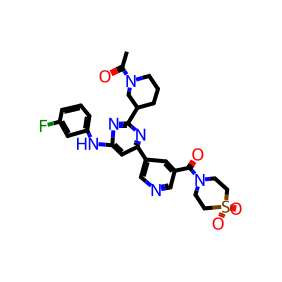 CC(=O)N1CCCC(c2nc(Nc3cccc(F)c3)cc(-c3cncc(C(=O)N4CCS(=O)(=O)CC4)c3)n2)C1